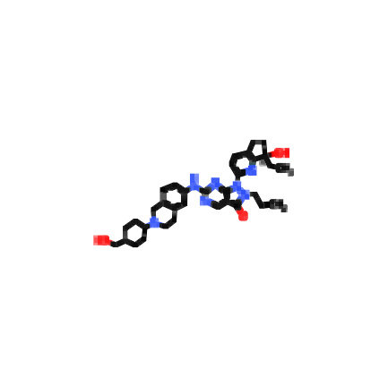 C=CCn1c(=O)c2cnc(Nc3ccc4c(c3)CCN(C3CCC(CO)CC3)C4)nc2n1-c1ccc2c(n1)[C@@](O)(CC)CC2